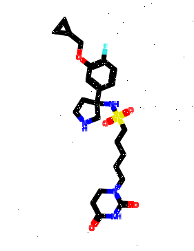 O=C1CCN(CCCCCS(=O)(=O)NC2(c3ccc(F)c(OCC4CC4)c3)CCNC2)C(=O)N1